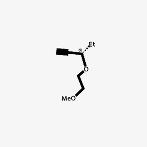 C#C[C@H](CC)OCCOC